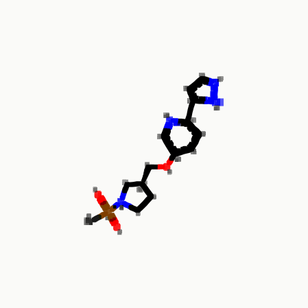 CC(C)S(=O)(=O)N1CC[C@H](COc2ccc(-c3ccn[nH]3)nc2)C1